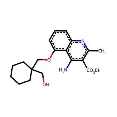 CCOC(=O)c1c(C)nc2cccc(OCC3(CO)CCCCC3)c2c1N